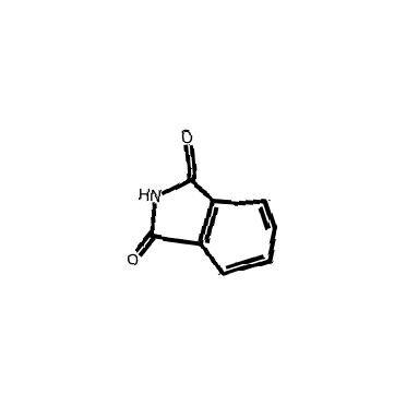 O=C1NC(=O)c2[c]cc[c]c21